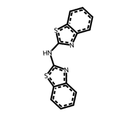 c1ccc2sc(Nc3nc4ccccc4s3)nc2c1